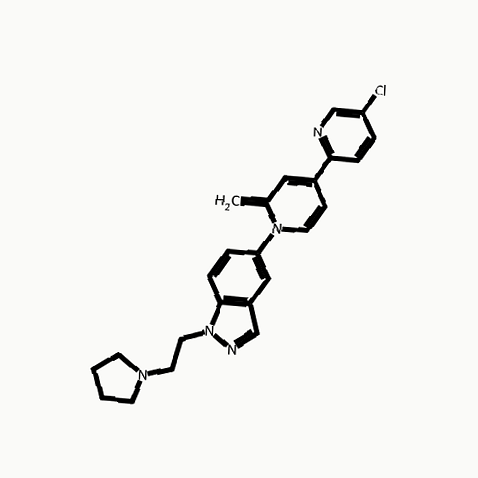 C=C1C=C(c2ccc(Cl)cn2)C=CN1c1ccc2c(cnn2CCN2CCCC2)c1